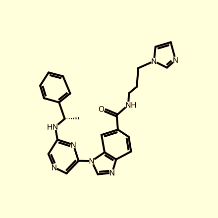 C[C@H](Nc1cncc(-n2cnc3ccc(C(=O)NCCCn4ccnc4)cc32)n1)c1ccccc1